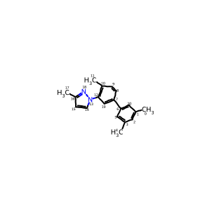 Cc1cc(C)cc(-c2ccc(C)c(-n3ccc(C)n3)c2)c1